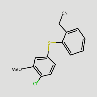 COc1cc(Sc2ccccc2CC#N)ccc1Cl